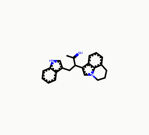 CC(=N)C(Cc1c[nH]c2ccccc12)c1cn2c3c(cccc13)CCC2